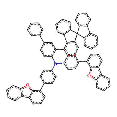 c1ccc(-c2ccc(N(c3ccc(-c4cccc5c4oc4ccccc45)cc3)c3ccc(-c4cccc5c4oc4ccccc45)cc3)c(-c3cccc4c3-c3ccccc3C43c4ccccc4-c4ccccc43)c2)cc1